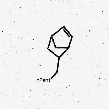 CCCCCCC1CC2C=CC1C2